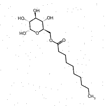 CCCCCCCCCC(=O)OC[C@H]1O[C@H](O)[C@H](O)[C@@H](O)[C@@H]1O